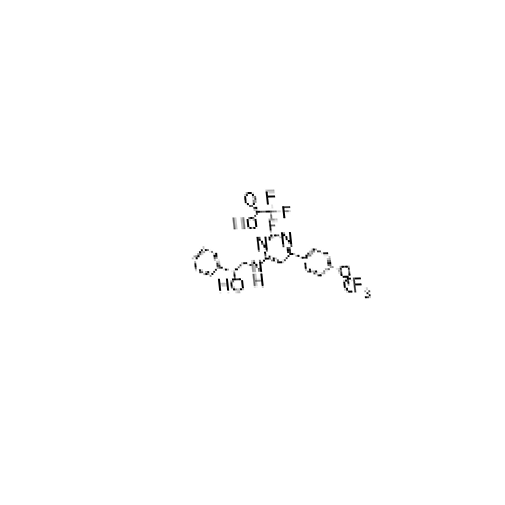 O=C(O)C(F)(F)F.OC(CNc1cc(-c2ccc(OC(F)(F)F)cc2)ncn1)c1ccccc1